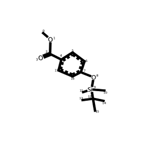 COC(=O)c1ccc(O[Si](C)(C)C(C)(C)C)cc1